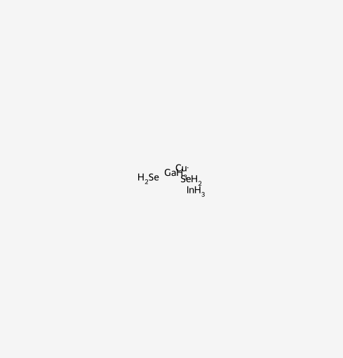 [Cu].[GaH3].[InH3].[SeH2].[SeH2]